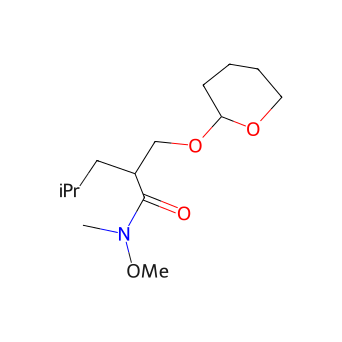 CON(C)C(=O)C(COC1CCCCO1)CC(C)C